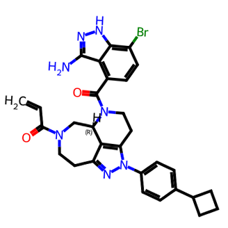 C=CC(=O)N1CCc2nn(-c3ccc(C4CCC4)cc3)c3c2[C@H](C1)N(C(=O)c1ccc(Br)c2[nH]nc(N)c12)CC3